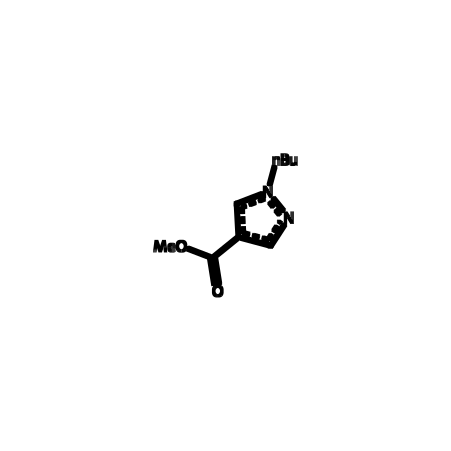 CCCCn1cc(C(=O)OC)cn1